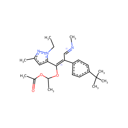 CCn1nc(C)cc1/C(OC(C)OC(C)=O)=C(\C=N\C)c1ccc(C(C)(C)C)cc1